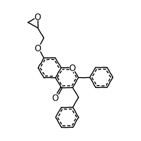 O=c1c(Cc2ccccc2)c(-c2ccccc2)oc2cc(OCC3CO3)ccc12